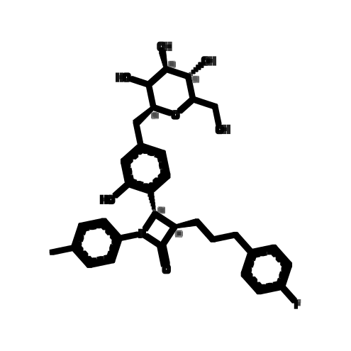 Cc1ccc(N2C(=O)[C@H](CCCc3ccc(F)cc3)[C@H]2c2ccc(C[C@@H]3OC(CO)[C@@H](O)[C@H](O)C3O)cc2O)cc1